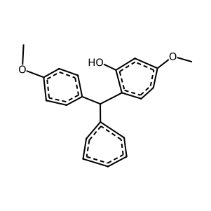 COc1ccc(C(c2ccccc2)c2ccc(OC)cc2O)cc1